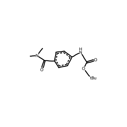 CN(C)C(=O)c1ccc(NC(=O)OC(C)(C)C)cc1